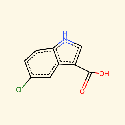 O=C(O)c1c[nH]c2ccc(Cl)cc12